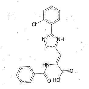 O=C(O)C(=Cc1cnc(-c2ccccc2Cl)[nH]1)NC(=O)c1ccccc1